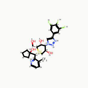 OC[C@@H]1[C@H](O)[C@@H](n2cc(-c3cc(F)c(F)c(F)c3)nn2)[C@@H](O)C[SH]1[C@H](c1ncccc1C(F)(F)F)C1(O)CCCC1